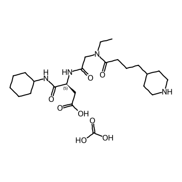 CCN(CC(=O)N[C@@H](CC(=O)O)C(=O)NC1CCCCC1)C(=O)CCCC1CCNCC1.O=C(O)O